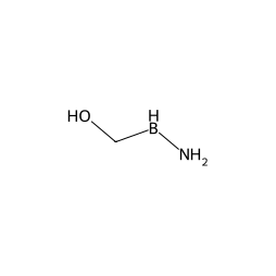 NBCO